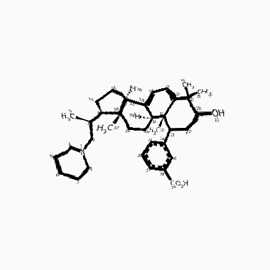 C[C@H](CN1CCCCC1)[C@H]1CC[C@H]2C3=CC=C4C(C)(C)C(O)CC(c5cccc(C(=O)O)c5)[C@]4(C)[C@H]3CC[C@]12C